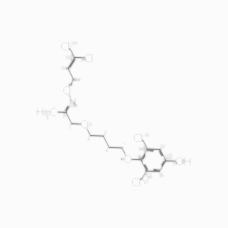 CC(COCCCCOc1c(Cl)cc(O)cc1Cl)=NOCC=C(Cl)Cl